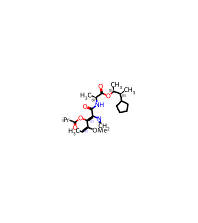 C=N/C(C(=O)N[C@@H](C)C(=O)O[C@@H](C)[C@@H](C)C1CCCC1)=C(OC(=O)C(C)C)\C(=C/C)OC